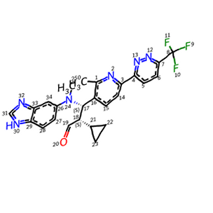 Cc1nc(-c2ccc(C(F)(F)F)nn2)ccc1[C@H]([C@@H](C=O)C1CC1)N(C)c1ccc2[nH]cnc2c1